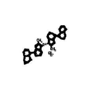 CC1=Cc2c(-c3cccc4ccccc34)cccc2[CH]1[Zr+2][CH]1C(C)=Cc2c(-c3cccc4ccccc34)cccc21.[Cl-].[Cl-]